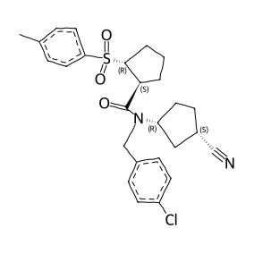 Cc1ccc(S(=O)(=O)[C@@H]2CCC[C@H]2C(=O)N(Cc2ccc(Cl)cc2)[C@@H]2CC[C@H](C#N)C2)cc1